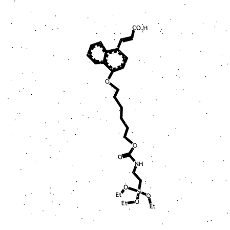 CCO[Si](CCNC(=O)OCCCCCCOc1ccc(/C=C/C(=O)O)c2ccccc12)(OCC)OCC